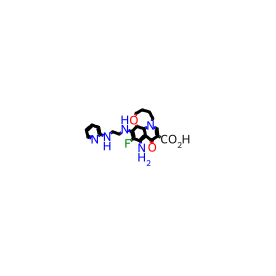 NC1=C2C(=O)C(C(=O)O)=CN3CCCCOC(C(NCCNc4ccccn4)=C1F)C23